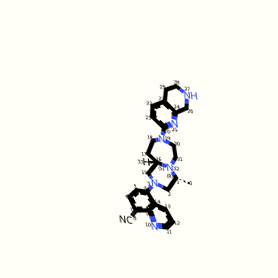 C[C@@H]1CN(c2ccc(C#N)c3ncccc23)C[C@@H]2CCN(c3ccc4c(n3)CNCC4)CCN21